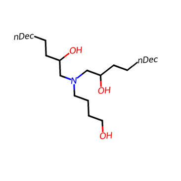 CCCCCCCCCCCCC(O)CN(CCCCO)CC(O)CCCCCCCCCCCC